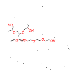 C=COC=C.CC(O)COC(C)COC(C)CO.OCCOCCOCCO